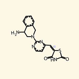 NC1CN(c2nccc(/C=C3/SC(=O)NC3=O)n2)Cc2ccccc21